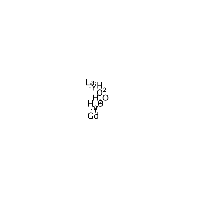 O.O.O.[Gd].[La].[Y].[Y]